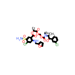 CCC(OC(=O)c1cc(S(N)(=O)=O)c(Cl)cc1NCc1ccco1)C(=O)OCOC(=O)N(C(C)C(=O)c1cccc(Cl)c1)C(C)(C)C